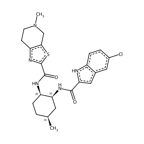 C[C@H]1CC[C@@H](NC(=O)c2nc3c(s2)CN(C)CC3)[C@@H](NC(=O)c2cc3cc(Cl)ccc3[nH]2)C1